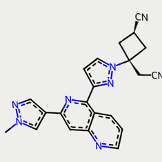 Cn1cc(-c2cc3ncccc3c(-c3ccn([C@]4(CC#N)C[C@@H](C#N)C4)n3)n2)cn1